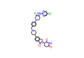 O=C1CCC(N2Cc3cc(C4CCN(Cc5ccc(N6CC[C@@H](Nc7ncc(Cl)cn7)[C@H](F)C6)cc5)CC4)ccc3C2=O)C(=O)N1